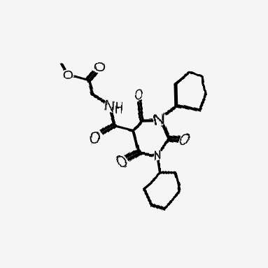 COC(=O)CNC(=O)C1C(=O)N(C2CCCCC2)C(=O)N(C2CCCCC2)C1=O